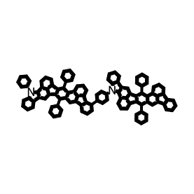 c1ccc(-c2c3cc4c5ccccc5c5cccc(c3c(-c3ccccc3)c3c6cc7c8ccccc8n(-c8ccc(-c9cccc%10c%11cc%12c(-c%13ccccc%13)c%13c%14cc%15c%16ccccc%16n(-c%16ccccc%16)c%15c%15cccc(c%13c(-c%13ccccc%13)c%12c%12cccc(c9%10)c%11%12)c%14%15)cc8)c7c7cccc(c23)c67)c54)cc1